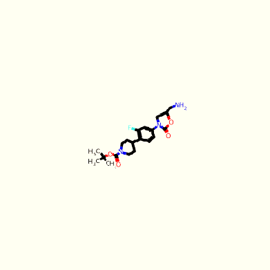 CC(C)(C)OC(=O)N1CCC(c2ccc(N3CC(CN)OC3=O)cc2F)CC1